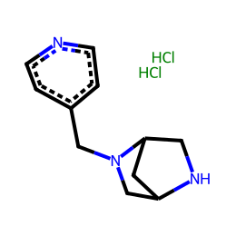 Cl.Cl.c1cc(CN2CC3CC2CN3)ccn1